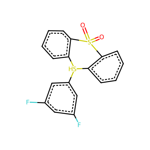 O=S1(=O)c2ccccc2[SH](c2cc(F)cc(F)c2)c2ccccc21